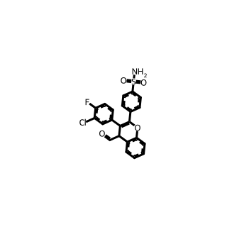 NS(=O)(=O)c1ccc(C2=C(c3ccc(F)c(Cl)c3)C(C=O)c3ccccc3O2)cc1